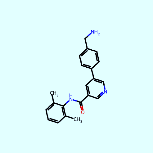 Cc1cccc(C)c1NC(=O)c1cncc(-c2ccc(CN)cc2)c1